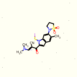 Cc1cc2cc(C(=O)/C(C#N)=C/N(C)C)n(SI)c2cc1N1CCCS1(=O)=O